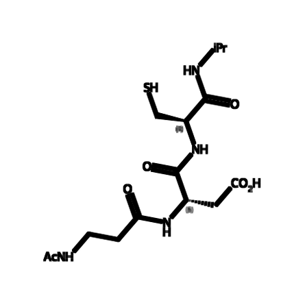 CC(=O)NCCC(=O)N[C@@H](CC(=O)O)C(=O)N[C@@H](CS)C(=O)NC(C)C